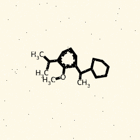 COc1c(C(C)C)cccc1C(C)C1CCCCC1